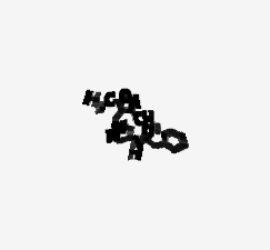 Cc1noc(C)c1CN1CC(NC(=O)Cc2ccccc2)C=N1